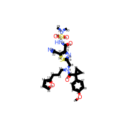 COc1ccc(C2(C(=O)N(CCCc3ccco3)Cc3nc(C(=O)NS(=O)(=O)N(C)C)c(C#N)s3)CC2)cc1